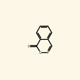 O=c1opcc2ccccc12